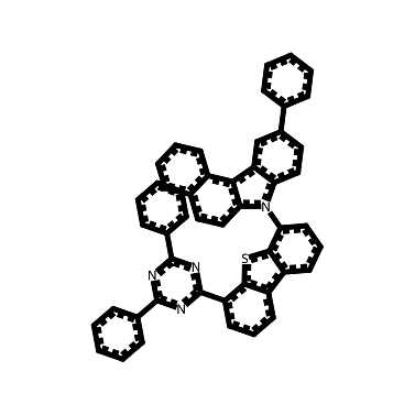 c1ccc(-c2ccc3c(c2)c2c4ccccc4ccc2n3-c2cccc3c2sc2c(-c4nc(-c5ccccc5)nc(-c5ccccc5)n4)cccc23)cc1